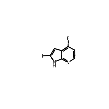 Fc1ccnc2[nH]c(I)cc12